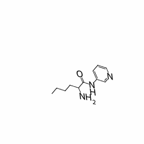 CCCCC(N)C(=O)Nc1cccnc1